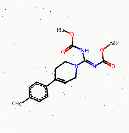 CC(C)(C)OC(=O)N=C(NC(=O)OC(C)(C)C)N1CC=C(c2ccc(C=O)cc2)CC1